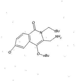 CCCCOc1c(CN)n(CC(C)(C)C)c(=O)c2ccc([O])cc12